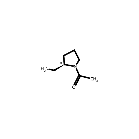 CC(=O)N1CCC[C@@H]1CN